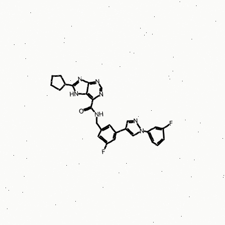 O=C(NCc1cc(F)cc(-c2cnn(-c3cccc(F)c3)c2)c1)c1ncnc2nc(C3CCCC3)[nH]c12